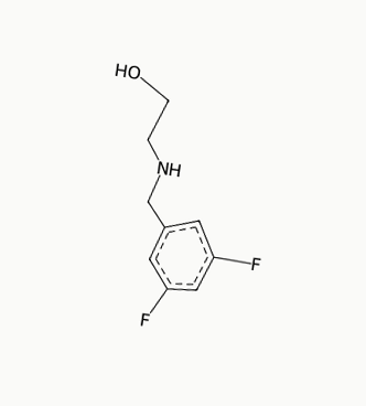 OCCNCc1cc(F)cc(F)c1